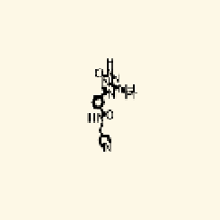 CC(C)Nc1nc(-c2cccc(C(=O)NCCc3ccncc3)c2)cn2c(=O)[nH]nc12